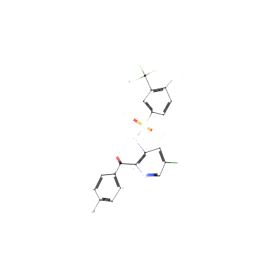 O=C(c1ccc(Cl)cc1)c1ncc(Cl)cc1NS(=O)(=O)c1ccc(Cl)c(C(F)(F)F)c1